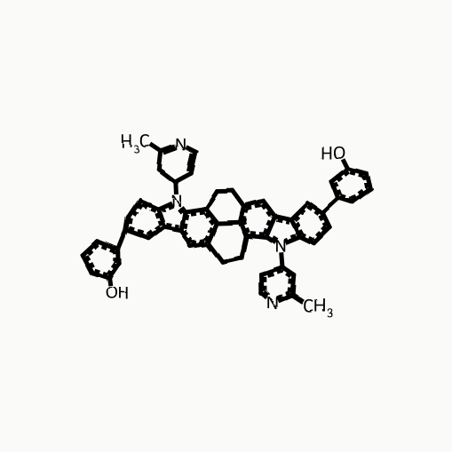 CC1=NC=CC(n2c3ccc(-c4cccc(O)c4)cc3c3cc4c5c(c32)CCc2cc3c6cc(-c7cccc(O)c7)ccc6n(-c6ccnc(C)c6)c3c(c2-5)CC4)C1